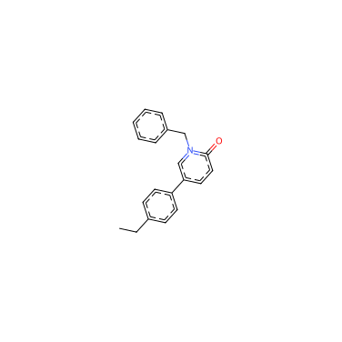 CCc1ccc(-c2ccc(=O)n(Cc3ccccc3)c2)cc1